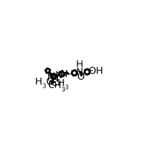 CC(C)(C)c1nc(C2CCCC2)cc(N2CCN(CC[C@H]3CC[C@H](NC(=O)[C@H]4CC[C@H](O)CC4)CC3)CC2)n1